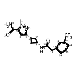 NC(=O)c1cc([C@H]2C[C@@H](NC(=O)Cc3cccc(C(F)(F)F)c3)C2)n[nH]1